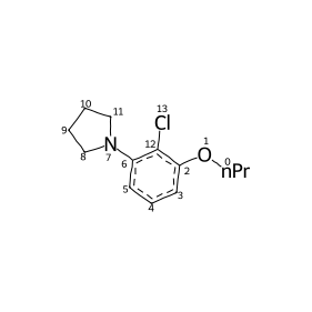 CCCOc1cccc(N2CCCC2)c1Cl